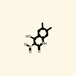 Cc1cc2[nH]c(=O)c([N+](=O)[O-])c(O)c2cc1C